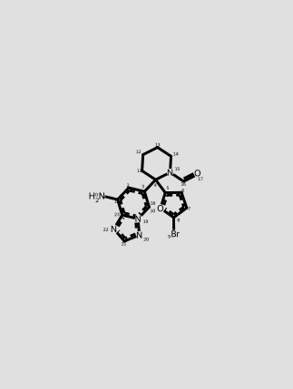 Nc1cc(C2(c3ccc(Br)o3)CCCCN2C=O)cn2ncnc12